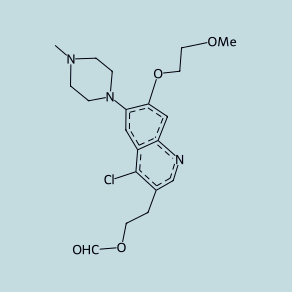 COCCOc1cc2ncc(CCOC=O)c(Cl)c2cc1N1CCN(C)CC1